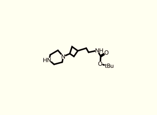 CC(C)(C)OC(=O)NCCC1CC(N2CCNCC2)C1